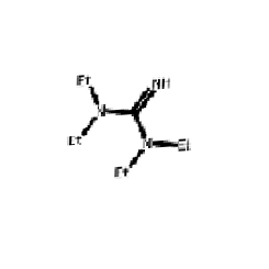 CCN(CC)C(=N)N(CC)CC